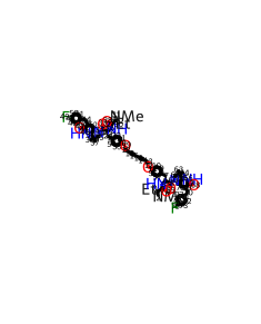 CC[C@H](NC)C(=O)N[C@@H](Cc1ccc(OCC#CC#CCOc2ccc(C[C@H](NC(=O)[C@H](CC)NC)C(=O)N3CC(C)(C)c4[nH]c(=O)c(Cc5ccc(F)cc5)cc43)cc2)cc1)C(=O)N1CC(C)(C)c2[nH]c(=O)c(Cc3ccc(F)cc3)cc21